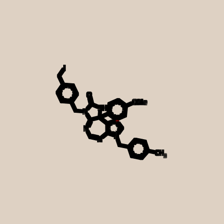 COc1ccc(C23NC(=O)N(Cc4ccc(CI)cc4)C2=NC=Nc2c3ncn2Cc2ccc(C)cc2)cc1